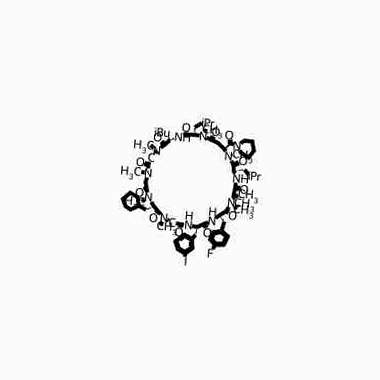 CC[C@H](C)[C@@H]1NC(=O)[C@H](CC(C)C)N(C)C(=O)C[C@@H](C(=O)N2CCCCC2)N(C)C(=O)[C@H](CC(C)C)NC(=O)C(C)(C)N(C)C(=O)[C@H](Cc2ccc(F)cc2)NC(=O)[C@H](Cc2cccc(I)c2)NC(=O)CN(C)C(=O)[C@H](CC2CCCCC2)N(C)C(=O)CN(C)C(=O)CN(C)C1=O